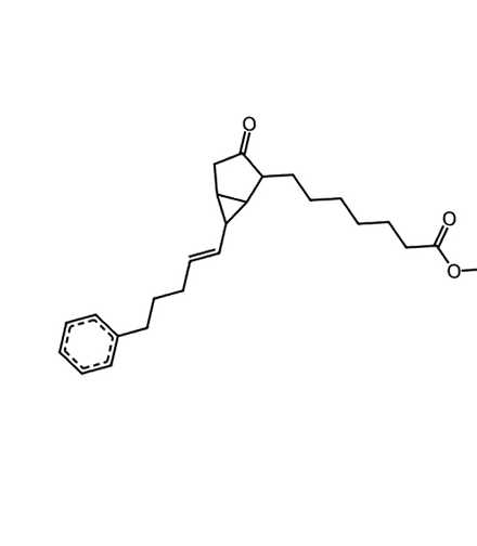 COC(=O)CCCCCCC1C(=O)CC2C(C=CCCCc3ccccc3)C12